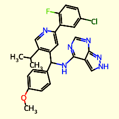 COc1ccc(C(Nc2ncnc3n[nH]cc23)c2cc(-c3cc(Cl)ccc3F)ncc2C(C)C)cc1